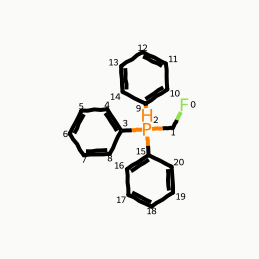 FC[PH](c1ccccc1)(c1ccccc1)c1ccccc1